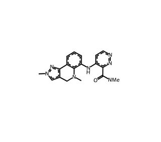 CNC(=O)c1nnccc1Nc1cccc2c1N(C)Cc1cn(C)nc1-2